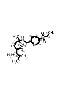 C=C(/N=C\C(C)(C)NCc1ccc(S(=O)(=O)CC)cn1)[C@@H](N)C(C)C